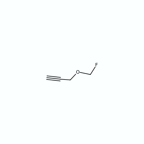 C#CCOCF